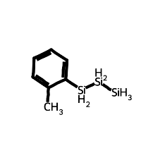 Cc1ccccc1[SiH2][SiH2][SiH3]